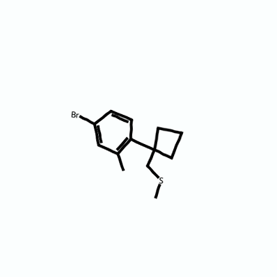 CSCC1(c2ccc(Br)cc2C)CCC1